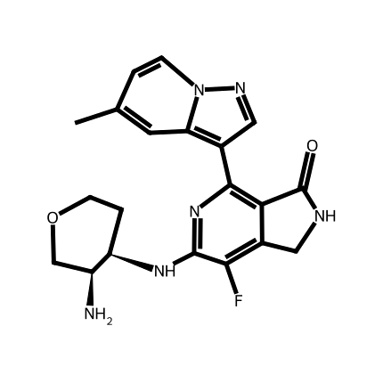 Cc1ccn2ncc(-c3nc(N[C@@H]4CCOC[C@@H]4N)c(F)c4c3C(=O)NC4)c2c1